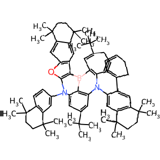 CC(C)(C)C1=CC2=C(C#CC1)N(c1cc3c(cc1C1=CC=CCC1)C(C)(C)CCC3(C)C)c1cc(C(C)(C)C)cc3c1B2c1c(oc2cc4c(cc12)C(C)(C)CCC4(C)C)N3c1ccc2c(c1)C(C)(C)CCC2(C)C